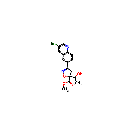 COC(=O)C1(C(C)O)CC(c2ccc3ncc(Br)cc3c2)=NO1